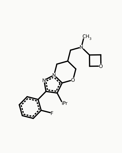 CC(C)c1c(-c2ccccc2F)nn2c1OCC(CN(C)C1COC1)C2